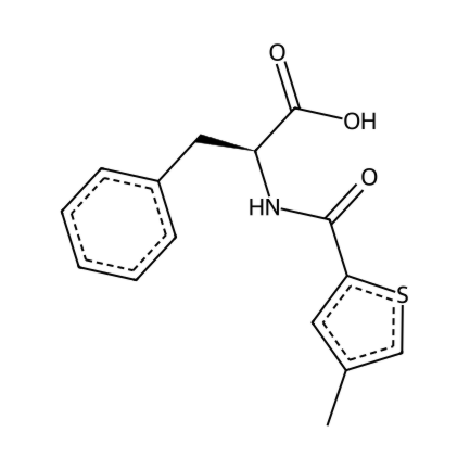 Cc1csc(C(=O)N[C@@H](Cc2ccccc2)C(=O)O)c1